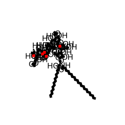 CCCCCCCCCCCCC/C=C/[C@@H](O)[C@H](CO[C@@H]1OC(CO)[C@@H](O[C@@H]2OC(CO)[C@H](O)[C@H](O[C@]3(C(=O)O)CC(O)[C@@H](NC(C)=O)C([C@H](O)[C@@H](CO)O[C@]4(C(=O)O)CC(O)[C@@H](NC(C)=O)C([C@H](O)[C@@H](CO)O[C@]5(C(=O)O)CC(O)[C@@H](NC(C)=O)C([C@H](O)[C@H](O)COC(C)=O)O5)O4)O3)C2O)[C@H](O)C1O)NC(=O)CCCCCCCCCCCCCCCCCCCCC